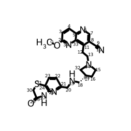 COc1ccc2ncc(C#N)c(CCN3CC[C@H](CNCc4ccc5c(n4)NC(=O)CS5)C3)c2n1